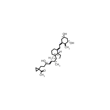 C=C1/C(=C\C=C2/CCC[C@]3(C)[C@@H]([C@H](C)/C=C/[C@H](O)CCC4(C(C)=O)CC4)CC[C@@H]23)C[C@@H](O)C[C@@H]1O